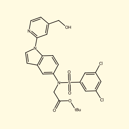 CC(C)(C)OC(=O)CN(c1ccc2c(ccn2-c2cc(CO)ccn2)c1)S(=O)(=O)c1cc(Cl)cc(Cl)c1